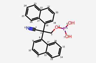 N#CC(COP(O)O)(c1cccc2ccccc12)c1cccc2ccccc12